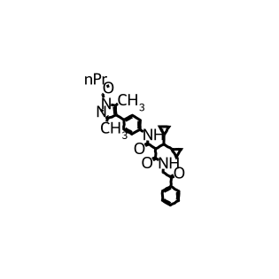 CCCOCn1nc(C)c(-c2ccc(NC(=O)C(C(=O)NCC(=O)c3ccccc3)C(C3CC3)C3CC3)cc2)c1C